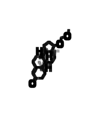 COCOC1CC[C@H]2[C@@H]3CCC4=CC(=O)CC[C@]4(C)[C@@H]3CC[C@]12C